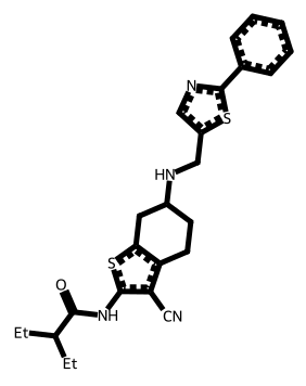 CCC(CC)C(=O)Nc1sc2c(c1C#N)CCC(NCc1cnc(-c3ccccc3)s1)C2